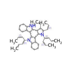 C=C/C=C(\C=C/C)n1c(/C=C\C)c(C=C)c2c3[nH]c4ccccc4c3c3c(c4ccccc4n3C(/C=C\C)=C/C=C)c21